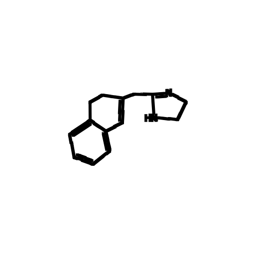 C1=C(CC2=NCCN2)CCc2ccccc21